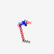 CCc1cnn2c(NCc3ccc(=O)n(CCOCCOCCOCCOCCOCCOCCNC)c3)cc(N3CCCC[C@H]3CCO)nc12